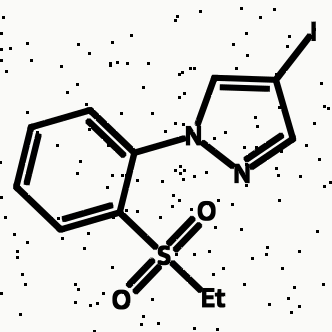 CCS(=O)(=O)c1ccccc1-n1cc(I)cn1